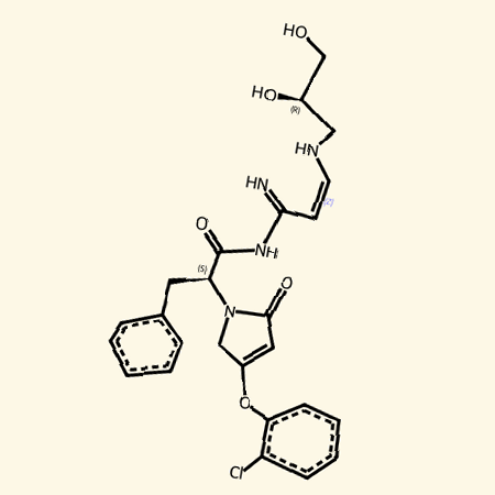 N=C(/C=C\NC[C@@H](O)CO)NC(=O)[C@H](Cc1ccccc1)N1CC(Oc2ccccc2Cl)=CC1=O